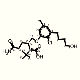 Cc1cc(CCCCO)c(Cl)c(OC[C@H](CCC(N)=O)N(C(=O)O)C(C)(C)C)c1